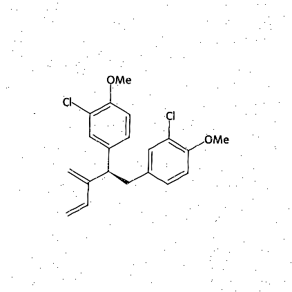 C=CC(=C)[C@H](Cc1ccc(OC)c(Cl)c1)c1ccc(OC)c(Cl)c1